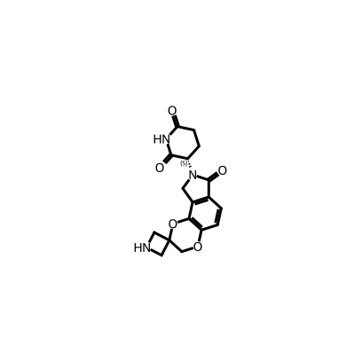 O=C1CC[C@H](N2Cc3c(ccc4c3OC3(CNC3)CO4)C2=O)C(=O)N1